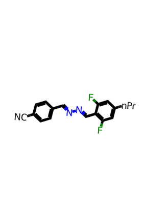 CCCc1cc(F)c(C=NN=Cc2ccc(C#N)cc2)c(F)c1